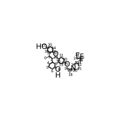 CC1=C(c2cccc(O)c2)C(c2ccc(OC[C@H](C)N3CCC[C@@H](CC(F)(F)F)C3)cc2)Oc2ccc(O)cc21